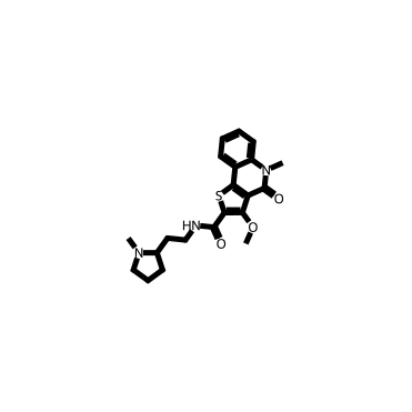 COc1c(C(=O)NCCC2CCCN2C)sc2c1c(=O)n(C)c1ccccc21